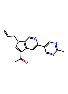 C=CCn1cc(C(C)=O)c2cc(-c3cnc(C)nc3)ncc21